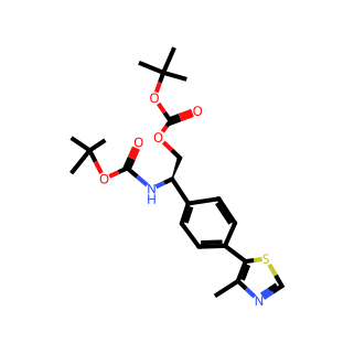 Cc1ncsc1-c1ccc([C@H](COC(=O)OC(C)(C)C)NC(=O)OC(C)(C)C)cc1